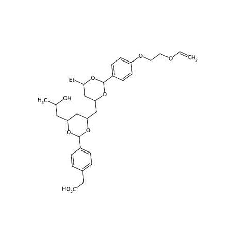 C=COCCOc1ccc(C2OC(CC)CC(CC3CC(CC(C)O)OC(c4ccc(CC(=O)O)cc4)O3)O2)cc1